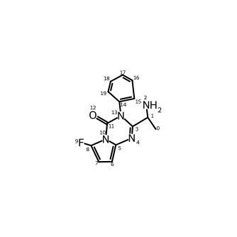 CC(N)c1nc2ccc(F)n2c(=O)n1-c1ccccc1